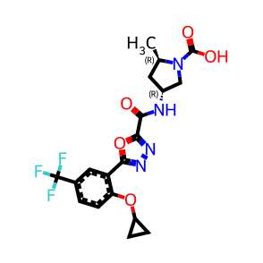 C[C@@H]1C[C@@H](NC(=O)c2nnc(-c3cc(C(F)(F)F)ccc3OC3CC3)o2)CN1C(=O)O